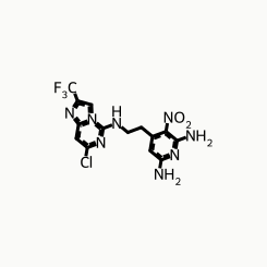 Nc1cc(CCNc2nc(Cl)cc3nc(C(F)(F)F)cn23)c([N+](=O)[O-])c(N)n1